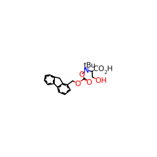 CC(C)(C)N(OC(=O)OCc1cccc2c1Cc1ccccc1-2)C(CO)C(=O)O